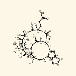 C[C@@H]1NC(=O)[C@H](CCC(=O)O)NC(=O)[C@H]2Cn3cc4sccc4c3SC[C@H](NC(=O)[C@@H]([C@H](C)O)NC1=O)C(=O)N(C[C@@H](C)O)CC(=O)N2